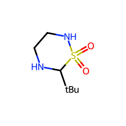 CC(C)(C)C1NCCNS1(=O)=O